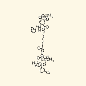 CC1N(C(=O)OCOC(=O)CCCCCCCOC(=O)c2cc(S(N)(=O)=O)c(Cl)cc2NCc2ccco2)C(C)(C)COC1(O)c1cccc(Cl)c1